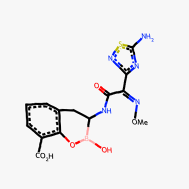 CON=C(C(=O)NC1Cc2cccc(C(=O)O)c2OB1O)c1nsc(N)n1